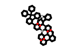 c1ccc(-c2cccc3cccc(-c4ccccc4N(c4ccc(-c5cccc6c5-c5ccccc5C6(c5ccccc5)c5ccccc5)cc4)c4ccccc4-c4cccc5oc6ccccc6c45)c23)cc1